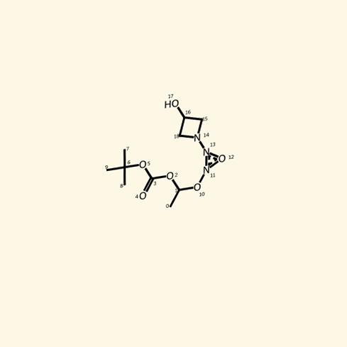 CC(OC(=O)OC(C)(C)C)On1on1N1CC(O)C1